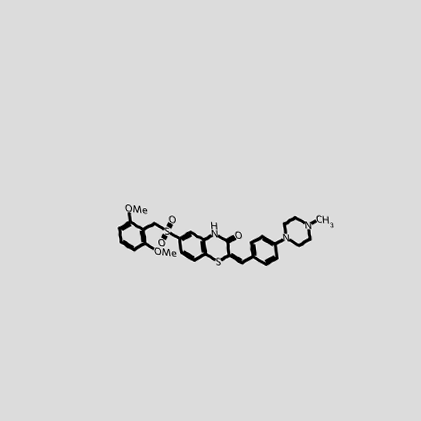 COc1cccc(OC)c1CS(=O)(=O)c1ccc2c(c1)NC(=O)/C(=C\c1ccc(N3CCN(C)CC3)cc1)S2